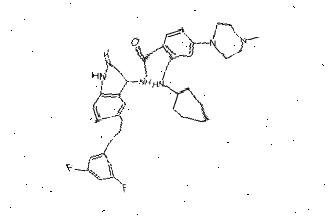 CN1CCN(c2ccc(C(=O)NC3NNc4ccc(Cc5cc(F)cc(F)c5)cc43)c(NC3CCCCC3)c2)CC1